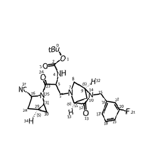 CC(C)(C)OC(=O)NC(CN1C[C@@H]2C[C@H]1C(=O)N2Cc1cccc(F)c1)C(=O)N1C(C#N)C[C@@H]2CC21